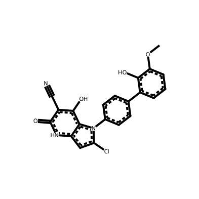 COc1cccc(-c2ccc(-n3c(Cl)cc4[nH]c(=O)c(C#N)c(O)c43)cc2)c1O